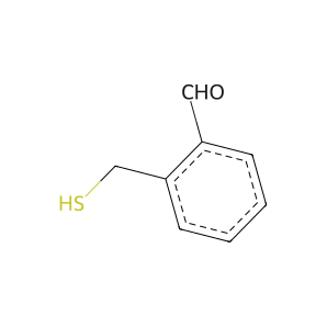 O=Cc1ccccc1CS